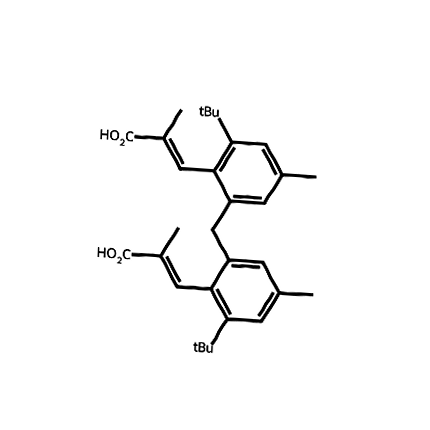 CC(=Cc1c(Cc2cc(C)cc(C(C)(C)C)c2C=C(C)C(=O)O)cc(C)cc1C(C)(C)C)C(=O)O